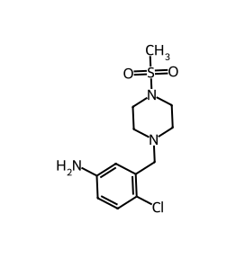 CS(=O)(=O)N1CCN(Cc2cc(N)ccc2Cl)CC1